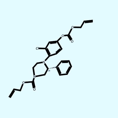 C=CCOC(=O)Oc1ccc(N2CCN(C(=O)OCC=C)C[C@H]2c2ccccc2)c(Cl)c1